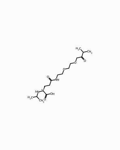 CC(C)N[C@@H](CCC(=O)NCCOCCOCC(=O)C(C)C)C(=O)O